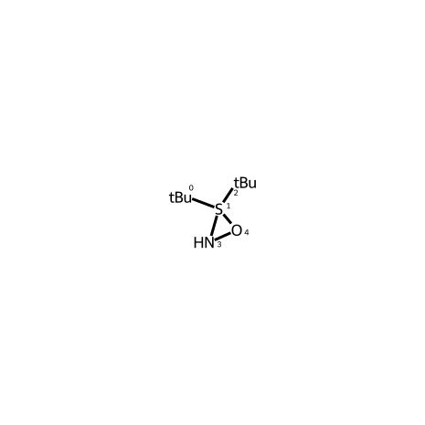 CC(C)(C)S1(C(C)(C)C)NO1